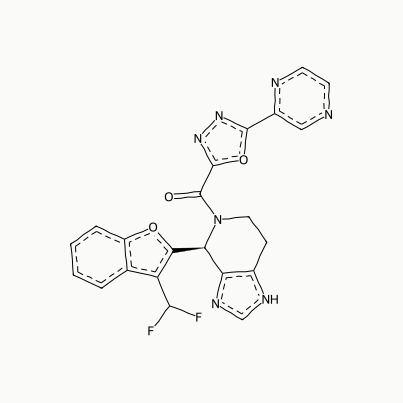 O=C(c1nnc(-c2cnccn2)o1)N1CCc2[nH]cnc2[C@H]1c1oc2ccccc2c1C(F)F